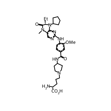 CC[C@@H]1C(=O)N(C)c2cnc(Nc3ccc(C(=O)NC4CCN(CCC[C@H](N)C(=O)O)CC4)cc3OC)nc2N1C1CCCC1